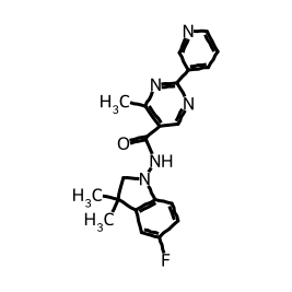 Cc1nc(-c2cccnc2)ncc1C(=O)NN1CC(C)(C)c2cc(F)ccc21